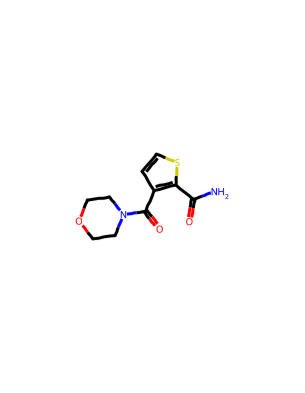 NC(=O)c1sccc1C(=O)N1CCOCC1